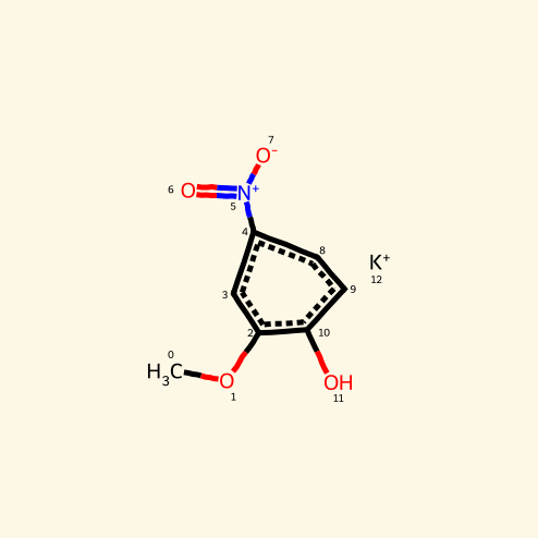 COc1cc([N+](=O)[O-])ccc1O.[K+]